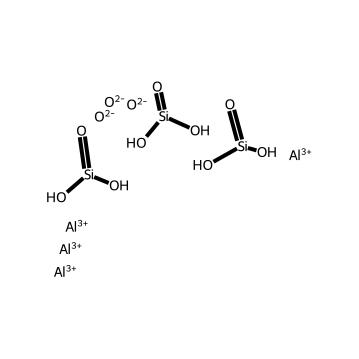 O=[Si](O)O.O=[Si](O)O.O=[Si](O)O.[Al+3].[Al+3].[Al+3].[Al+3].[O-2].[O-2].[O-2]